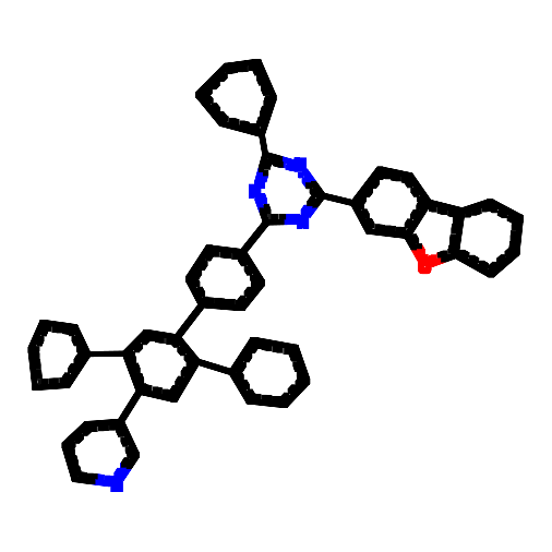 c1ccc(-c2nc(-c3ccc(-c4cc(-c5ccccc5)c(-c5cccnc5)cc4-c4ccccc4)cc3)nc(-c3ccc4c(c3)oc3ccccc34)n2)cc1